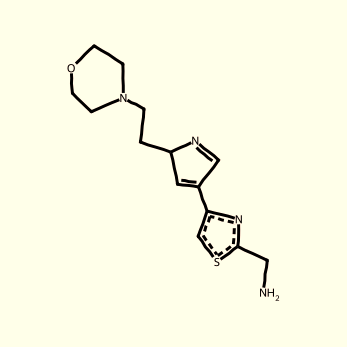 NCc1nc(C2=CC(CCN3CCOCC3)N=C2)cs1